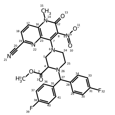 COC(=O)C1CN(c2c([N+](=O)[O-])c(=O)n(C)c3ccc(C#N)nc23)CCN1C(c1ccc(F)cc1)c1ccc(F)cc1